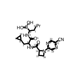 CC(C)CC(NC(=O)C(CC1CC1)NC(=O)C1CCN1c1cnc(C#N)cn1)B(O)O